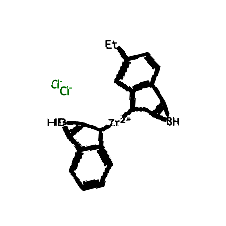 CCc1ccc2c(c1)[CH]([Zr+2][CH]1C3=C(B3)c3ccccc31)C1=C2B1.[Cl-].[Cl-]